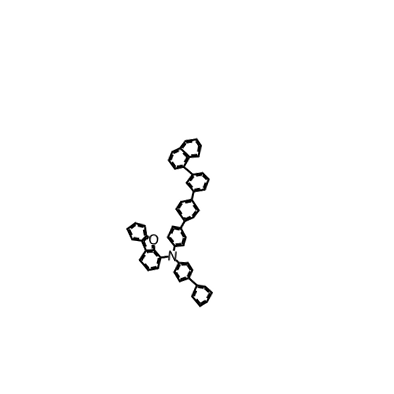 c1ccc(-c2ccc(N(c3ccc(-c4ccc(-c5cccc(-c6cccc7ccccc67)c5)cc4)cc3)c3cccc4c3oc3ccccc34)cc2)cc1